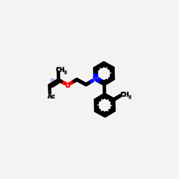 CC(=O)/C=C(/C)OCC[n+]1ccccc1-c1ccccc1C